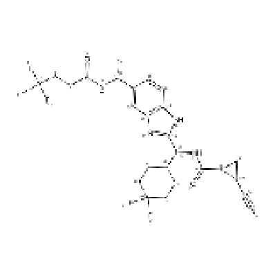 C[C@@H](NC(=O)CCC(F)(F)F)c1ccc2[nH]c([C@@H](NC(=O)C3CC3C#N)C3CCC(F)(F)CC3)nc2c1